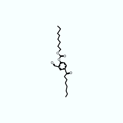 CCCCCCCCOC(=O)Oc1ccc(C(=O)CCCCCCC)cc1C=O